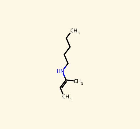 C/C=C(\C)NCCCCC